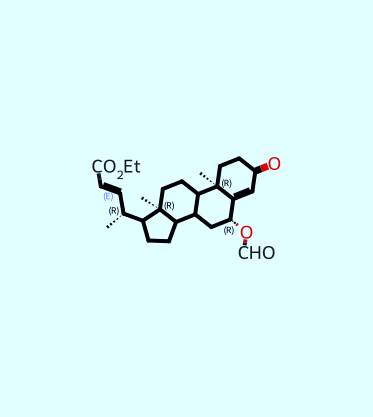 CCOC(=O)/C=C/[C@@H](C)C1CCC2C3C[C@@H](OC=O)C4=CC(=O)CC[C@]4(C)C3CC[C@@]21C